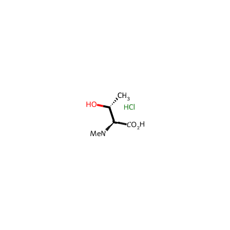 CN[C@H](C(=O)O)[C@@H](C)O.Cl